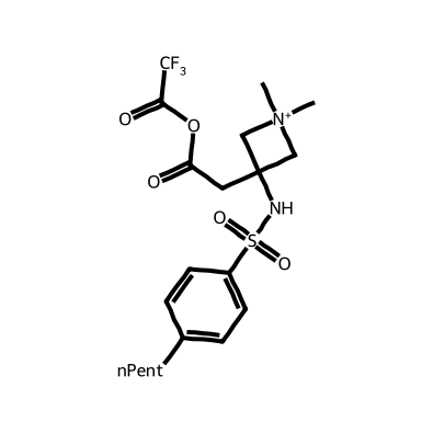 CCCCCc1ccc(S(=O)(=O)NC2(CC(=O)OC(=O)C(F)(F)F)C[N+](C)(C)C2)cc1